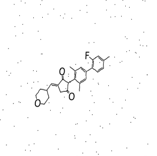 Cc1ccc(-c2cc(C)c(C3C(=O)C/C(=C\C4CCOCC4)C3=O)c(C)c2)c(F)c1